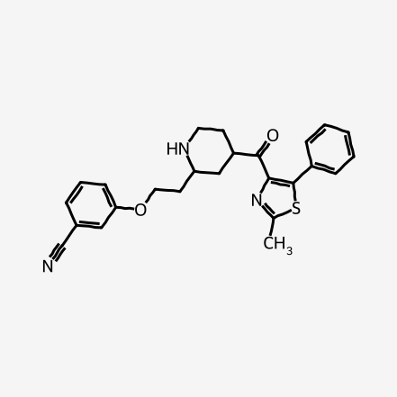 Cc1nc(C(=O)C2CCNC(CCOc3cccc(C#N)c3)C2)c(-c2ccccc2)s1